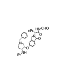 CCCC(C(=O)NC=O)N1Cc2cc(OC3CN(Cc4ccccc4)CCC3NC(C)C)ccc2C1=O